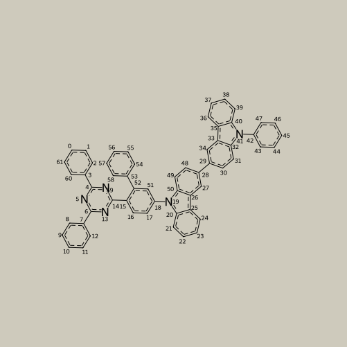 c1ccc(-c2nc(-c3ccccc3)nc(-c3ccc(-n4c5ccccc5c5cc(-c6ccc7c(c6)c6ccccc6n7-c6ccccc6)ccc54)cc3-c3ccccc3)n2)cc1